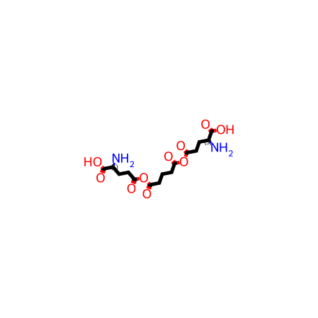 N[C@@H](CCC(=O)OC(=O)CCCC(=O)OC(=O)CC[C@H](N)C(=O)O)C(=O)O